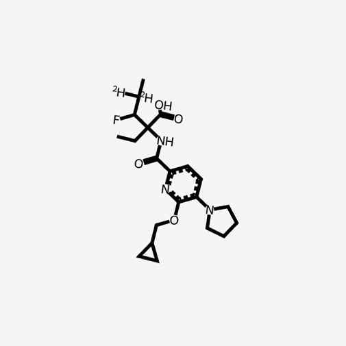 [2H]C([2H])(C)C(F)C(CC)(NC(=O)c1ccc(N2CCCC2)c(OCC2CC2)n1)C(=O)O